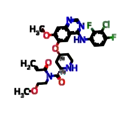 C=CC(=O)N(CCOC)C(=O)[C@@H]1C[C@@H](Oc2cc3c(Nc4ccc(F)c(Cl)c4F)ncnc3cc2OC)CCN1